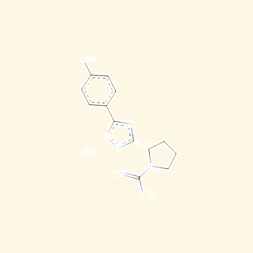 CCCCCCCCc1ccc(-c2nc([C@@H]3CCCN3C(=N)N)no2)cc1.Cl